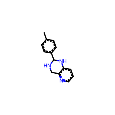 Cc1ccc(C2NCc3ncccc3N2)cc1